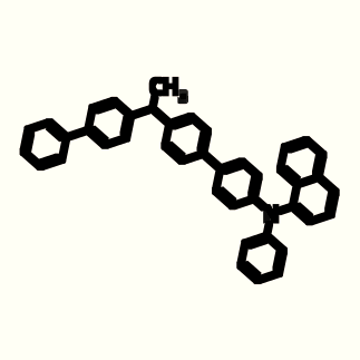 CC(c1ccc(-c2ccccc2)cc1)c1ccc(-c2ccc(N(c3ccccc3)c3cccc4ccccc34)cc2)cc1